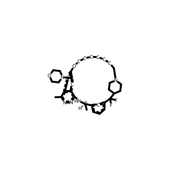 Cc1nnc2c3cc(N4CCOCC4)c(cc13)OCCCCCCCN1CCC(CC1)C(F)(F)c1cccc(c1)[C@@H](C)N2